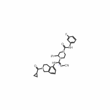 CC(C)C1CN(C(=O)Nc2cccc(F)c2)CCN1/C(=N\C#N)Nc1cccc2c1CCN(C(=O)C1CC1)C2